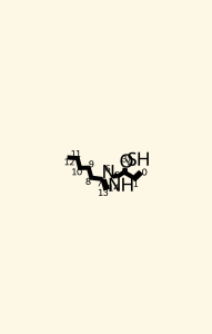 C=CC(OS)c1nc(CCCCC)c[nH]1